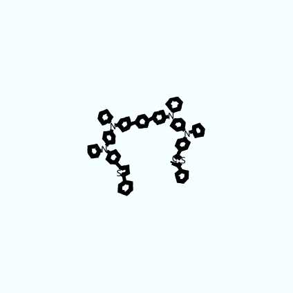 c1ccc(-c2ccc(-c3ccc(N(c4ccccc4)c4ccc(N(c5ccccc5)c5ccc(-c6ccc(-c7ccc(N(c8ccccc8)c8ccc(N(c9ccccc9)c9ccc(-c%10ccc(-c%11ccccc%11)s%10)cc9)cc8)cc7)cc6)cc5)cc4)cc3)s2)cc1